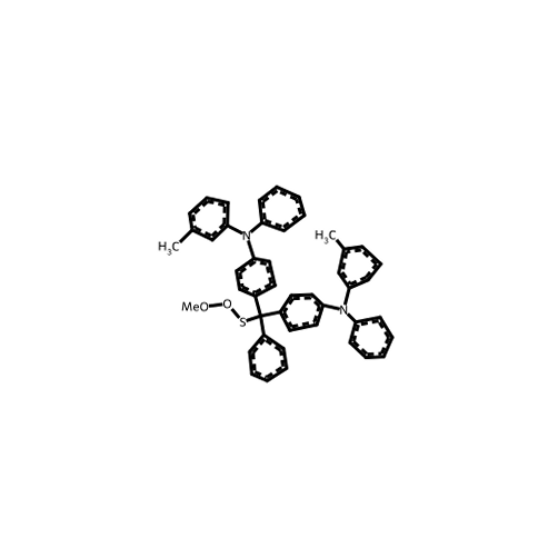 COOSC(c1ccccc1)(c1ccc(N(c2ccccc2)c2cccc(C)c2)cc1)c1ccc(N(c2ccccc2)c2cccc(C)c2)cc1